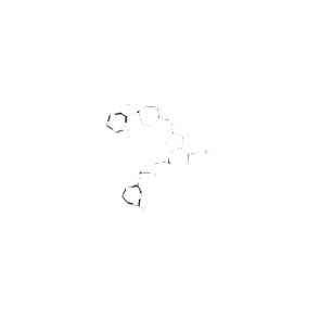 CC(O)[C@@H]1CC(NC2CCC(O)(c3ccccn3)CC2)CN1C(=O)CNC(=O)c1cccc(C(F)(F)F)c1